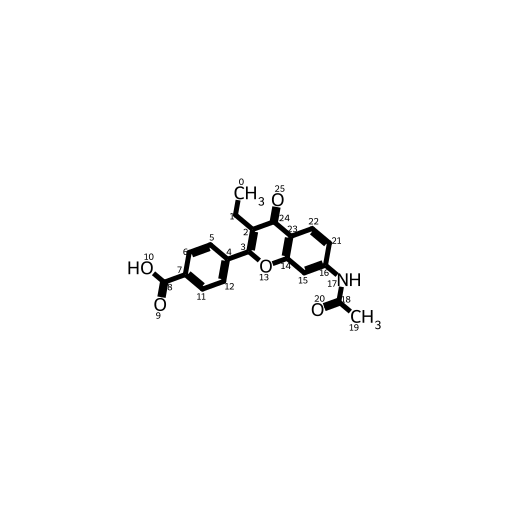 CCc1c(-c2ccc(C(=O)O)cc2)oc2cc(NC(C)=O)ccc2c1=O